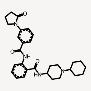 O=C(Nc1ccccc1C(=O)NC1CCN(C2CCCCC2)CC1)c1cccc(N2CCCC2=O)c1